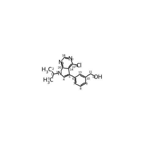 CC(C)n1cc(-c2cccc(CO)c2)c2c(Cl)ncnc21